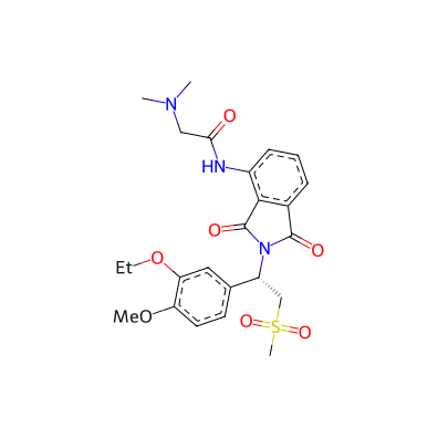 CCOc1cc([C@@H](CS(C)(=O)=O)N2C(=O)c3cccc(NC(=O)CN(C)C)c3C2=O)ccc1OC